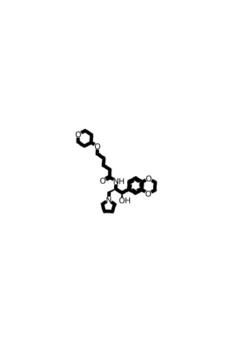 O=C(CCCCOC1CCOCC1)N[C@H](CN1CCCC1)[C@H](O)c1ccc2c(c1)OCCO2